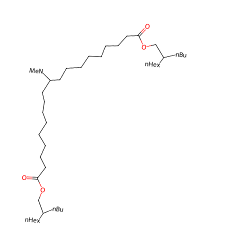 CCCCCCC(CCCC)COC(=O)CCCCCCCCC(CCCCCCCCC(=O)OCC(CCCC)CCCCCC)NC